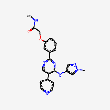 Cn1cc(Nc2nc(-c3cccc(OCC(=O)NC(C)(C)C)c3)ncc2-c2ccncc2)cn1